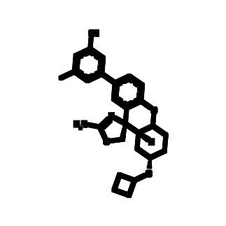 Cc1cc(C#N)cc(-c2ccc3c(c2)[C@]2(COC(N)=N2)[C@H]2C[C@@H](OC4CCC4)CCC2O3)c1